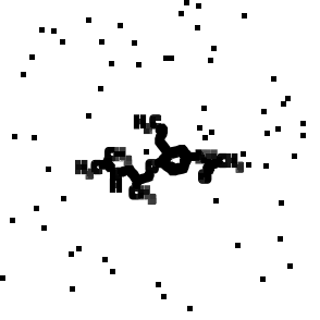 C=CCc1cc(NC(C)=O)ccc1OCC(C)CNC(C)C